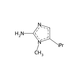 CC(C)c1cnc(N)n1C